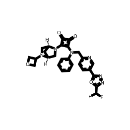 O=c1c(N(Cc2ccc(-c3nnc(C(F)F)o3)cn2)c2ccccc2)c(N2C[C@@H]3C[C@H]2CN3C2COC2)c1=O